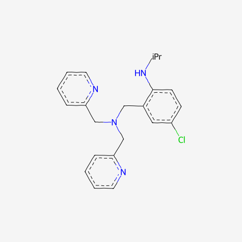 CC(C)Nc1ccc(Cl)cc1CN(Cc1ccccn1)Cc1ccccn1